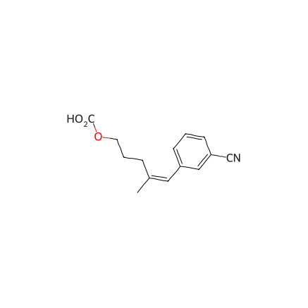 CC(=Cc1cccc(C#N)c1)CCCOC(=O)O